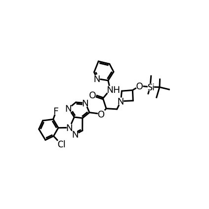 CC(C)(C)[Si](C)(C)OC1CN(CC(Oc2ncnc3c2cnn3-c2c(F)cccc2Cl)C(=O)Nc2ccccn2)C1